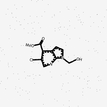 COC(=O)c1c(Cl)cnc2c1ccn2CO